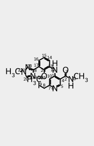 CNC(=O)c1cnc(CI)cc1Nc1cccc(-c2ncn(C)n2)c1OC